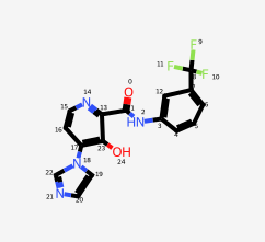 O=C(Nc1cccc(C(F)(F)F)c1)c1nccc(-n2ccnc2)c1O